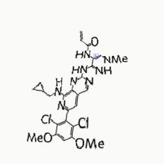 C=CC(=O)N/C(=C/NC)C(=N)Nc1ncc2cc(-c3c(Cl)c(OC)cc(OC)c3Cl)nc(NCC3CC3)c2n1